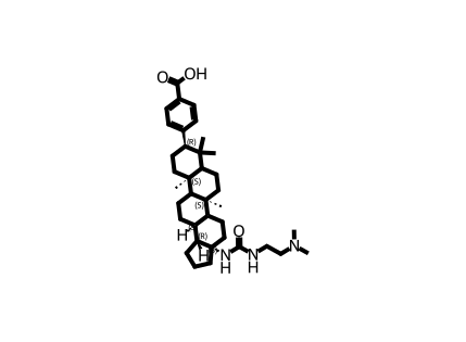 CN(C)CCNC(=O)N[C@]12CCC[C@@H]1[C@H]1CCC3[C@@](C)(CCC4C(C)(C)[C@H](c5ccc(C(=O)O)cc5)CC[C@@]43C)C1CC2